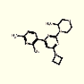 CC1COCCN1c1nc(-c2ccc(N)nc2C(F)(F)F)cc(N2CCC2)n1